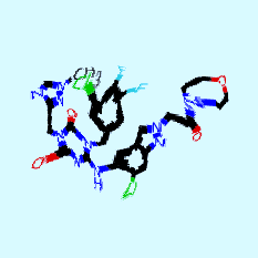 Cn1cnc(Cn2c(=O)nc(Nc3cc4cn(CC(=O)N5CCOCC5)nc4cc3Cl)n(Cc3cc(F)c(F)c(Cl)c3)c2=O)n1